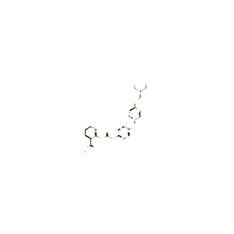 CCC(CC)COc1ccc(Oc2ccc(CC(=O)Nc3ccccc3C(=O)OC)cc2)cc1